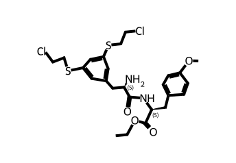 CCOC(=O)[C@H](Cc1ccc(OC)cc1)NC(=O)[C@@H](N)Cc1cc(SCCCl)cc(SCCCl)c1